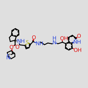 O=C(NCCCCNCC(O)c1ccc(O)c2[nH]c(=O)ccc12)c1ccc(CN[C@]2(C(=O)OC3CN4CCC3CC4)CCc3ccccc32)s1